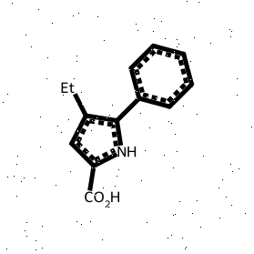 CCc1cc(C(=O)O)[nH]c1-c1ccccc1